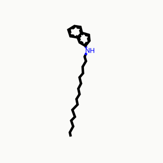 CCCCCCCCCCCCCCCCNc1ccc2ccccc2c1